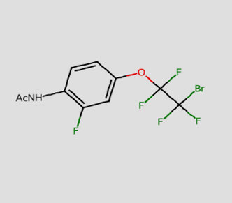 CC(=O)Nc1ccc(OC(F)(F)C(F)(F)Br)cc1F